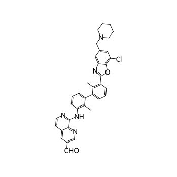 Cc1c(Nc2nccc3cc(C=O)cnc23)cccc1-c1cccc(-c2nc3cc(CN4CCCCC4)cc(Cl)c3o2)c1C